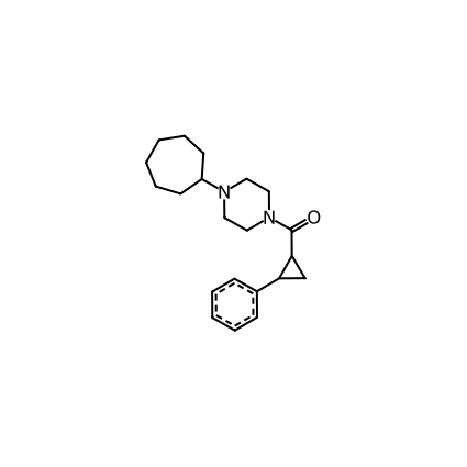 O=C(C1CC1c1ccccc1)N1CCN(C2CCCCCC2)CC1